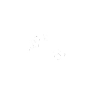 O=C1COc2ccc(C(=O)N3CCC(COc4cccc(F)c4Cl)CC3)cc2N1